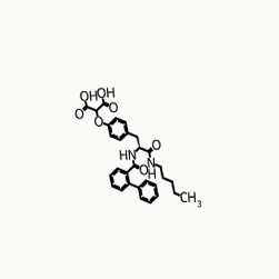 CCCCCNC(=O)[C@H](Cc1ccc(OC(C(=O)O)C(=O)O)cc1)NC(=O)c1ccccc1-c1ccccc1